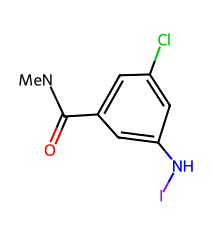 CNC(=O)c1cc(Cl)cc(NI)c1